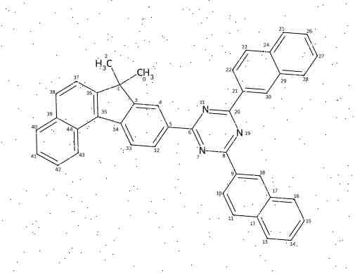 CC1(C)c2cc(-c3nc(-c4ccc5ccccc5c4)nc(-c4ccc5ccccc5c4)n3)ccc2-c2c1ccc1ccccc21